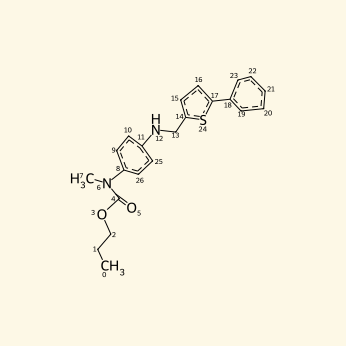 CCCOC(=O)N(C)c1ccc(NCc2ccc(-c3ccccc3)s2)cc1